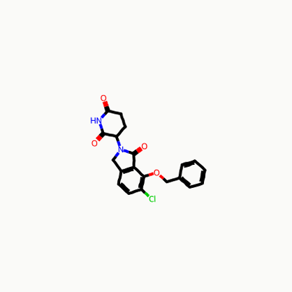 O=C1CCC(N2Cc3ccc(Cl)c(OCc4ccccc4)c3C2=O)C(=O)N1